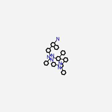 N#Cc1ccc(-c2cccc(-c3nc(-c4ccccc4)nc(-c4ccc(-c5ccccc5-c5cc(-c6ccccc6)nc(-c6ccccc6)n5)c(-c5ccccc5)c4)n3)c2)c2ccccc12